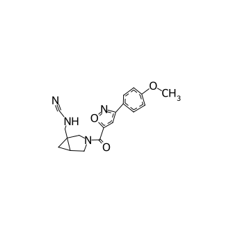 COc1ccc(-c2cc(C(=O)N3CC4CC4(CNC#N)C3)on2)cc1